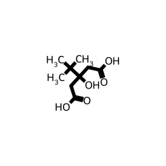 CC(C)(C)C(O)(CC(=O)O)CC(=O)O